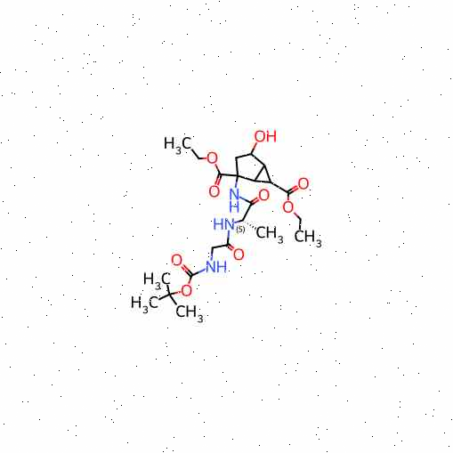 CCOC(=O)C1C2C(O)CC(NC(=O)[C@H](C)NC(=O)CNC(=O)OC(C)(C)C)(C(=O)OCC)C12